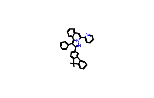 CC1(C)c2ccccc2-c2cc(-c3nn4c(-c5ccccn5)cc5ccccc5c4c3-c3ccccc3)ccc21